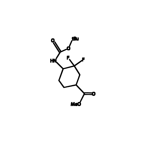 COC(=O)C1CCC(NC(=O)OC(C)(C)C)C(F)(F)C1